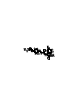 NOOc1ccc(/C=C/C(=O)/C=C2/C(=O)Nc3ccc(F)cc32)cc1